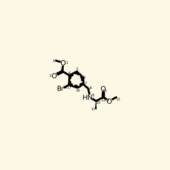 COC(=O)c1ccc(CN[C@H](C)C(=O)OC)cc1Br